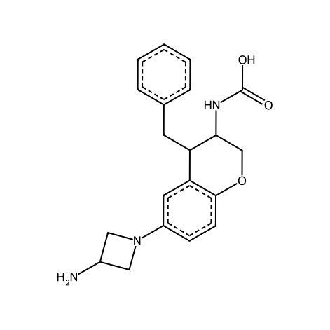 NC1CN(c2ccc3c(c2)C(Cc2ccccc2)C(NC(=O)O)CO3)C1